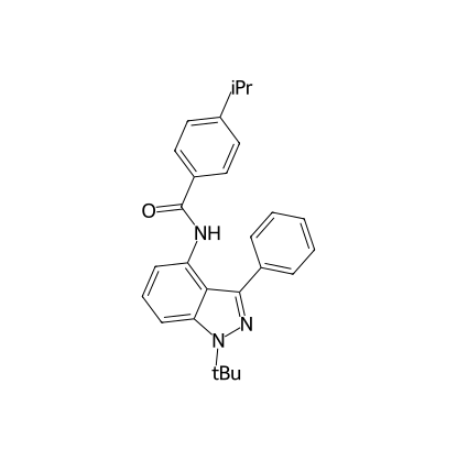 CC(C)c1ccc(C(=O)Nc2cccc3c2c(-c2ccccc2)nn3C(C)(C)C)cc1